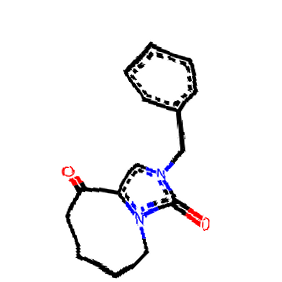 O=C1CCCCn2c1cn(Cc1ccccc1)c2=O